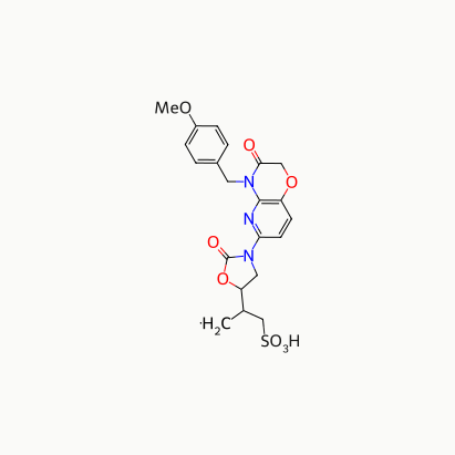 [CH2]C(CS(=O)(=O)O)C1CN(c2ccc3c(n2)N(Cc2ccc(OC)cc2)C(=O)CO3)C(=O)O1